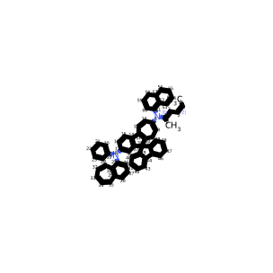 C/C=C\C=C(/C)N(C1=CCC2=C(C=C1)c1ccc(N(c3ccccc3)c3cccc4c3C=CC=C=C4)cc1C21c2ccccc2-c2ccccc21)C1=C2C=CC=CC2CC=C1